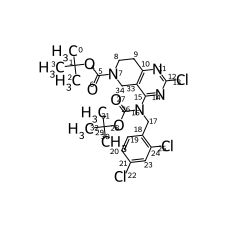 CC(C)(C)OC(=O)N1CCc2nc(Cl)nc(N(Cc3ccc(Cl)cc3Cl)C(=O)OC(C)(C)C)c2C1